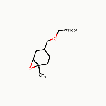 CCCCCCCCOCC1CCC2(C)OC2C1